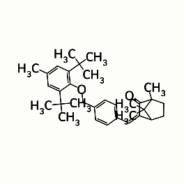 Cc1cc(C(C)(C)C)c(OCc2ccc(/C=C3\C(=O)C4(C)CCC3C4(C)C)cc2)c(C(C)(C)C)c1